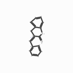 O=C1Sc2ccccc2C/C1=C/c1ccccc1